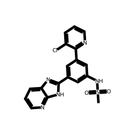 CS(=O)(=O)Nc1cc(-c2nc3cccnc3[nH]2)cc(-c2ncccc2Cl)c1